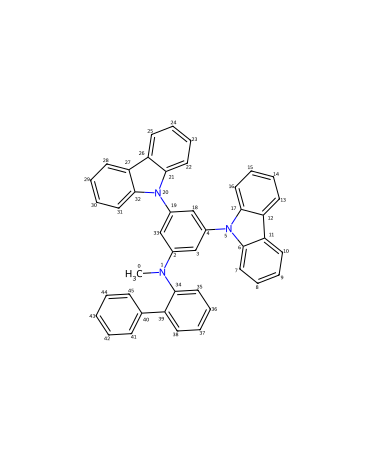 CN(c1cc(-n2c3ccccc3c3ccccc32)cc(-n2c3ccccc3c3ccccc32)c1)c1ccccc1-c1ccccc1